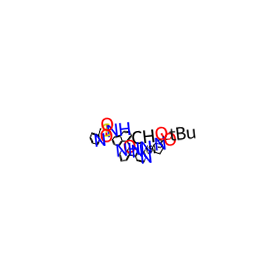 Cc1ccc2c(NS(=O)(=O)Cc3ccccn3)cccc2c1Oc1ncccc1-c1ccnc(N[C@H]2CCCN(C(=O)OC(C)(C)C)C2)n1